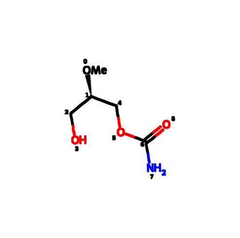 CO[C@@H](CO)COC(N)=O